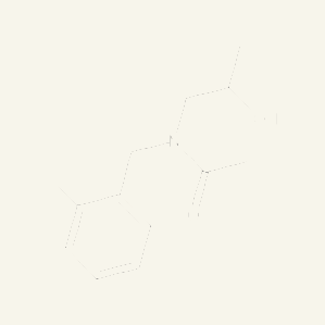 CC(=O)N(Cc1ccccc1C)CC(C)O